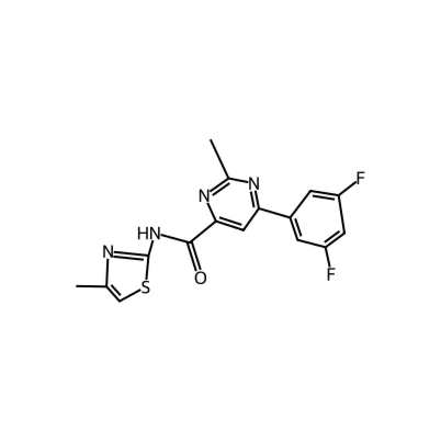 Cc1csc(NC(=O)c2cc(-c3cc(F)cc(F)c3)nc(C)n2)n1